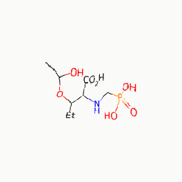 CCC(OC(C)O)C(NCP(=O)(O)O)C(=O)O